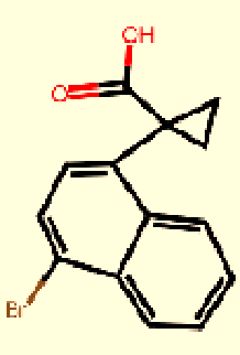 O=C(O)C1(c2ccc(Br)c3ccccc23)CC1